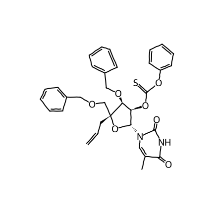 C=CC[C@]1(COCc2ccccc2)O[C@@H](n2cc(C)c(=O)[nH]c2=O)[C@H](OC(=S)Oc2ccccc2)[C@@H]1OCc1ccccc1